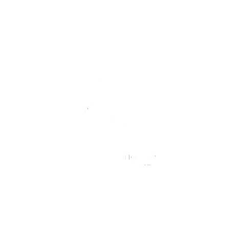 C/C(=C\Cc1ccc(/C=C/C(=O)c2ccccc2)cc1)C(O)(O)O